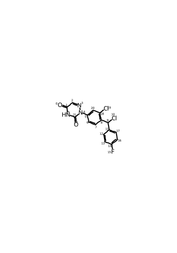 O=c1cnn(-c2ccc(C(Cl)c3ccc(F)cc3)c(Cl)c2)c(=O)[nH]1